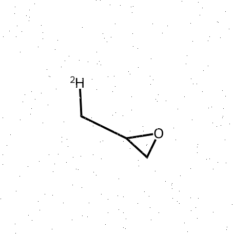 [2H]CC1CO1